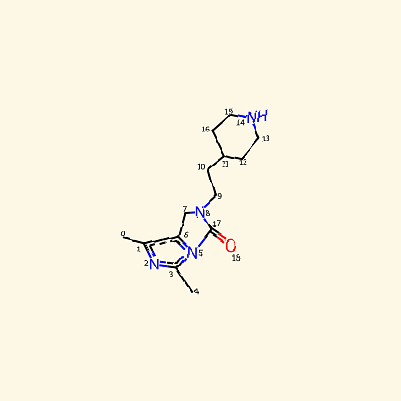 Cc1nc(C)n2c1CN(CCC1CCNCC1)C2=O